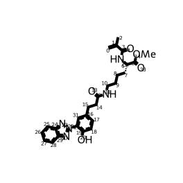 C=C(C)C(=O)N[C@@H](CCCCNC(=O)CCc1ccc(O)c(-n2nc3ccccc3n2)c1)C(=O)OC